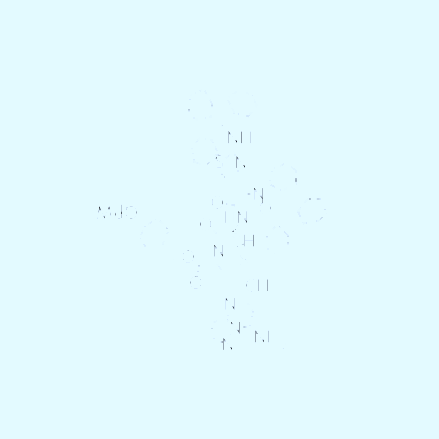 COc1ccc(COC(=O)C2=C(C[n+]3c(C)cc(N)n4nccc43)CS[C@H]3[C@H](NC(=O)C(=NOC(c4ccccc4)(c4ccccc4)c4ccccc4)c4csc(NC(c5ccccc5)(c5ccccc5)c5ccccc5)n4)C(=O)N23)cc1.[I-]